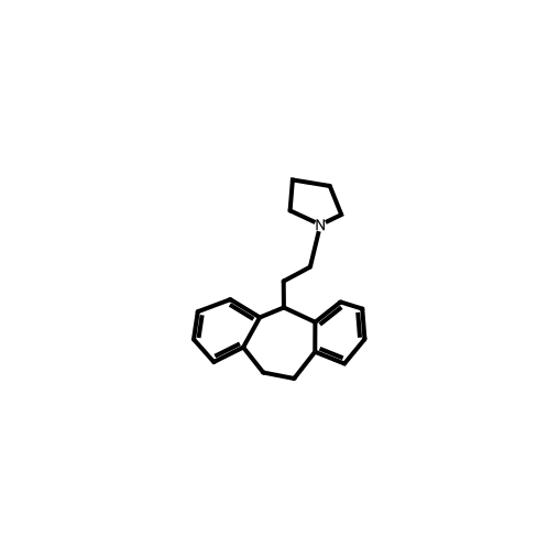 c1ccc2c(c1)CCc1ccccc1C2CCN1CCCC1